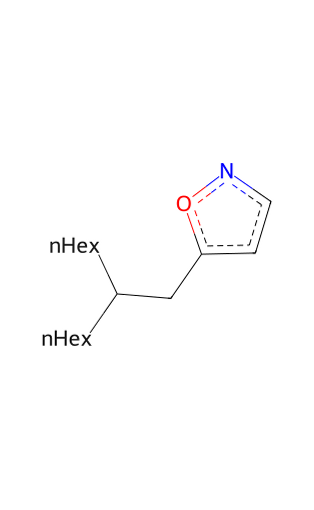 CCCCCCC(CCCCCC)Cc1ccno1